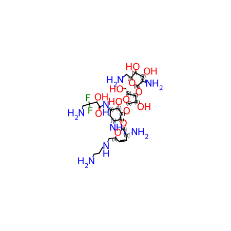 NCCCNC[C@@H]1C=C[C@@H](N)[C@@H](O[C@H]2[C@H](O[C@@H]3O[C@H](CO)[C@@H](O[C@H]4O[C@@H](CN)[C@@H](O)[C@H](O)[C@H]4N)[C@H]3O)[C@@H](O)[C@H](NC(=O)C(O)C(F)(F)CN)C[C@@H]2N)O1